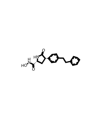 O=C1N[C@@H](C(=O)NO)C[C@H]1c1ccc(CCc2ccccc2)cc1